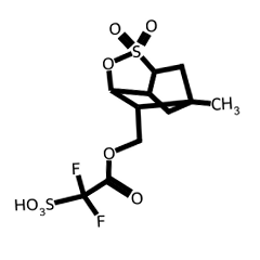 CC12CC3C(OS(=O)(=O)C3C1)C2COC(=O)C(F)(F)S(=O)(=O)O